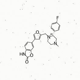 CN1CCN(Cc2cc(-c3ccc4[nH]c(=O)oc4c3)co2)[C@H](c2ccc(F)cc2)C1